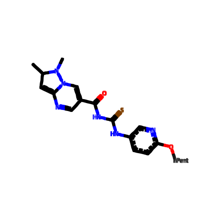 CCCCCOc1ccc(NC(=S)NC(=O)C2=CN3C(=CC(C)N3C)N=C2)cn1